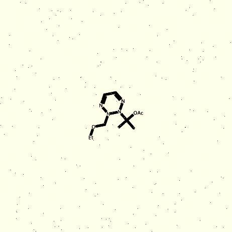 CCOCN1N=CC=NN1C(C)(C)OC(C)=O